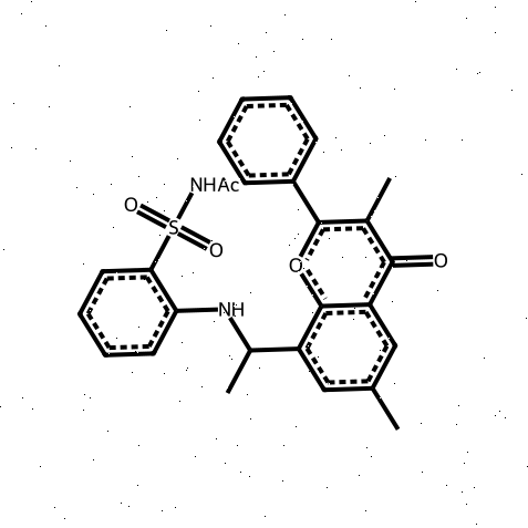 CC(=O)NS(=O)(=O)c1ccccc1NC(C)c1cc(C)cc2c(=O)c(C)c(-c3ccccc3)oc12